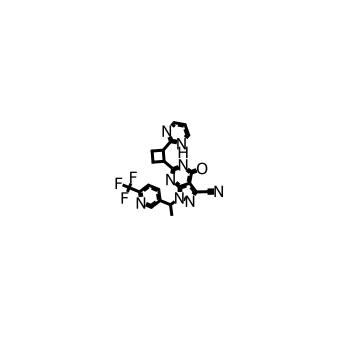 CC(c1ccc(C(F)(F)F)nc1)n1nc(C#N)c2c(=O)[nH]c(C3CCC3c3ncccn3)nc21